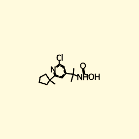 CC1(c2cc(C(C)(C)NC(=O)O)cc(Cl)n2)CCCC1